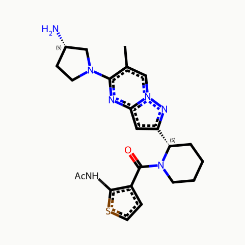 CC(=O)Nc1sccc1C(=O)N1CCCC[C@H]1c1cc2nc(N3CC[C@H](N)C3)c(C)cn2n1